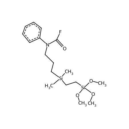 CO[Si](CC[Si](C)(C)CCCN(C(=O)F)c1ccccc1)(OC)OC